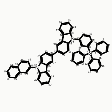 c1ccc([Si](c2ccccc2)(c2ccccc2)c2cccc(-n3c4ccccc4c4cc(-c5ccc6c(c5)c5ccccc5n6-c5ccc6ccccc6c5)ccc43)c2)cc1